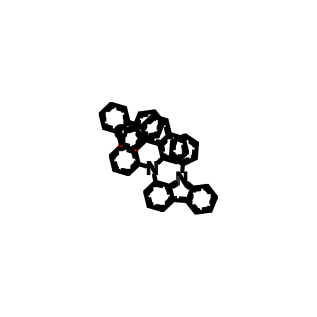 c1ccc(-n2c3ccccc3c3cccc(N(c4cccc5ccc6c7ccccc7ccc6c45)c4cccc5oc6ccccc6c45)c32)cc1